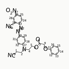 N#CCCN(CCOC(=O)COc1ccccc1)c1ccc(N=Nc2ccc([N+](=O)[O-])cc2C#N)cc1